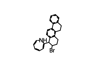 BrC1CCc2c(ccc3c2CCc2ccccc2-3)C1C1=CC=CC=CN1